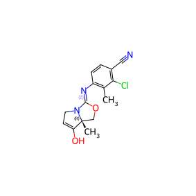 Cc1c(/N=C2\OC[C@]3(C)C(O)=CCN23)ccc(C#N)c1Cl